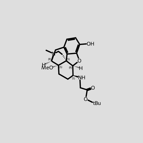 CO[C@@]12CC[C@H](NCC(=O)OC(C)(C)C)[C@@H]3Oc4c(O)ccc5c4[C@@]31CCN(C)[C@@H]2C5